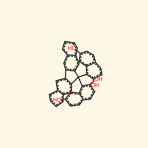 Oc1ccc2ccc(O)c(C3(c4c(O)ccc5ccc(O)cc45)c4cc5ccccc5cc4-c4cc5ccccc5cc43)c2c1